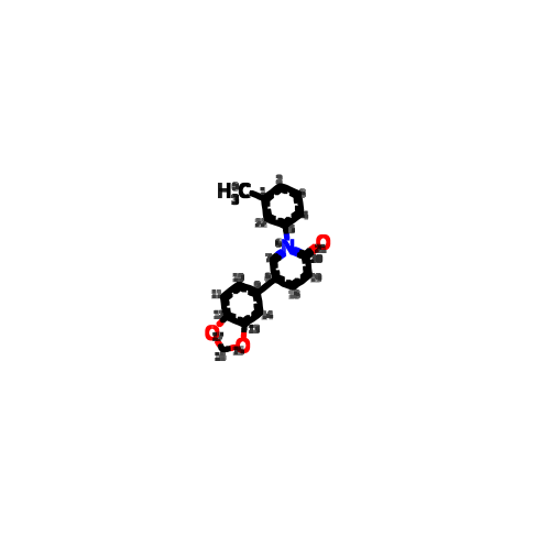 Cc1cccc(-n2cc(-c3ccc4c(c3)OCO4)ccc2=O)c1